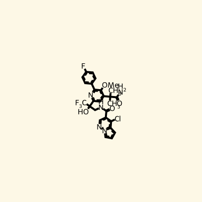 COc1c(C(C)(C)C(N)=O)cc(C(O)(CNC(=O)c2cnn3cccc3c2Cl)C(F)(F)F)nc1-c1ccc(F)cc1